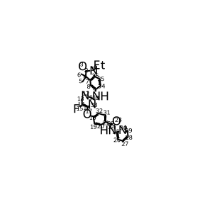 CCN1C(=O)C(C)(C)c2cc(Nc3ncc(F)c(Oc4ccc(C(=O)Nc5ccccn5)cc4)n3)ccc21